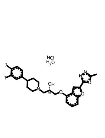 Cc1nnc(-c2cc3c(OC[C@@H](O)CN4CCC(c5ccc(Cl)c(Cl)c5)CC4)cccc3o2)o1.Cl.O